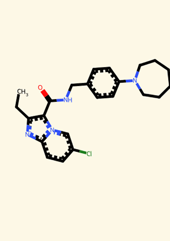 CCc1nc2ccc(Cl)cn2c1C(=O)NCc1ccc(N2CCCCCC2)cc1